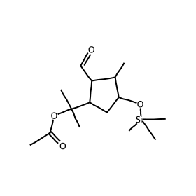 CC(=O)OC(C)(C)C1CC(O[Si](C)(C)C)C(C)C1C=O